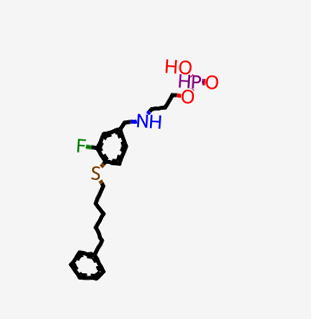 O=[PH](O)OCCCNCc1ccc(SCCCCCc2ccccc2)c(F)c1